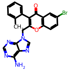 Cc1ccccc1-c1c(Cn2cnc3c(N)ncnc32)oc2ccc(Br)cc2c1=O